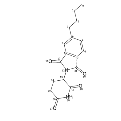 CCCCc1ccc2c(c1)C(=O)N(C1CCC(=O)NC1=O)C2=O